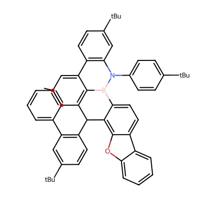 Cc1cc2c3c(c1)C(c1ccc(C(C)(C)C)cc1-c1ccccc1)c1c(ccc4c1oc1ccccc14)B3N(c1ccc(C(C)(C)C)cc1)c1cc(C(C)(C)C)ccc1-2